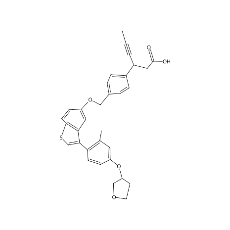 CC#CC(CC(=O)O)c1ccc(COc2ccc3scc(-c4ccc(OC5CCOC5)cc4C)c3c2)cc1